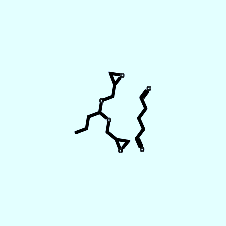 CCCC(OCC1CO1)OCC1CO1.O=CCCCC=O